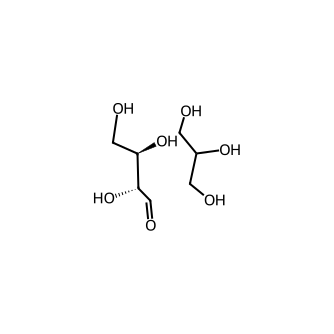 O=C[C@H](O)[C@H](O)CO.OCC(O)CO